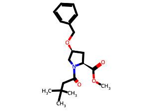 COC(=O)[C@@H]1C[C@H](OCc2ccccc2)CN1C(=O)CC(C)(C)C